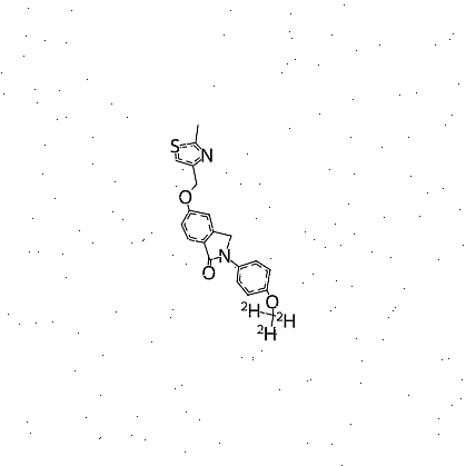 [2H]C([2H])([2H])Oc1ccc(N2Cc3cc(OCc4csc(C)n4)ccc3C2=O)cc1